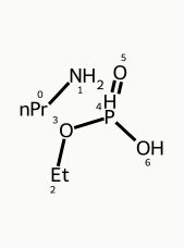 CCCN.CCO[PH](=O)O